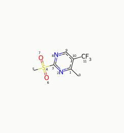 Cc1nc(S(C)(=O)=O)ncc1C(F)(F)F